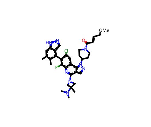 COC/C=C/C(=O)N1CCC(n2ncc3c(N4CC(C)(N(C)C)C4)nc4c(F)c(-c5c(C)c(C)cc6[nH]ncc56)c(Cl)cc4c32)CC1